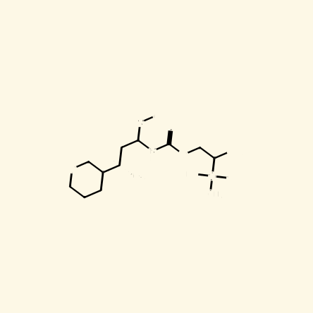 CC(COC(=O)NC(C[C@@H](C1CCCOC1)C(C)(C)C)NC(=O)O)[Si](C)(C)C